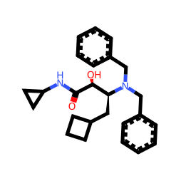 O=C(NC1CC1)[C@@H](O)[C@H](CC1CCC1)N(Cc1ccccc1)Cc1ccccc1